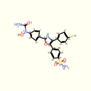 NC(=O)N(O)c1ccc(-c2nc(-c3ccc(F)cc3)c(-c3ccc(S(N)(=O)=O)cc3)o2)cc1